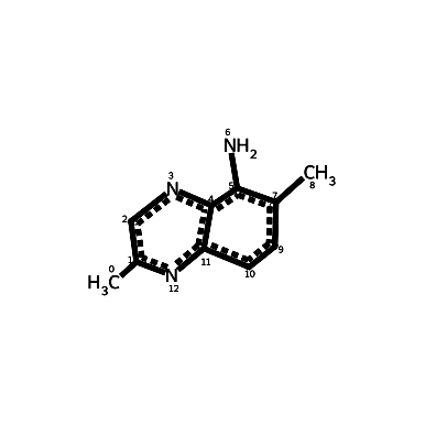 Cc1cnc2c(N)c(C)ccc2n1